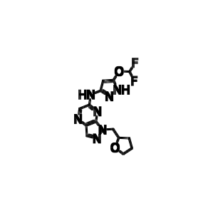 FC(F)Oc1cc(Nc2cnc3cnn(CC4CCCO4)c3n2)n[nH]1